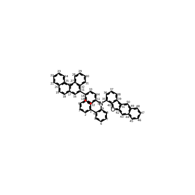 c1ccc(-c2ccccc2N(c2ccc(-c3cc4ccc5ccccc5c4c4ccccc34)cc2)c2cccc3c2oc2cc4ccccc4cc23)cc1